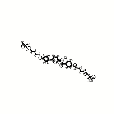 CC1(COCCCCOc2ccc(-c3ccc(OC(=O)c4ccc(OCCCCOCC5(C)CO5)cc4F)cc3)cc2)CO1